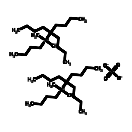 CCCCC(CCCC)(CCCC)[N+](C)(C)CCCC.CCCCC(CCCC)(CCCC)[N+](C)(C)CCCC.O=S(=O)([O-])[O-]